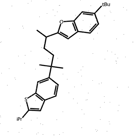 CC(C)c1cc2ccc(C(C)(C)CCC(C)c3cc4ccc(C(C)(C)C)cc4o3)cc2s1